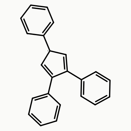 C1=C(c2ccccc2)C(c2ccccc2)=C[C]1c1ccccc1